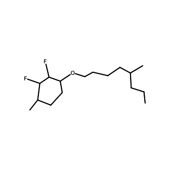 CCCC(C)CCCCOC1CCC(C)C(F)C1F